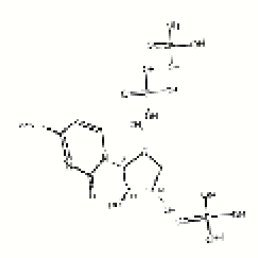 C.CC(=O)Nc1ccn([C@@H]2OC[C@H](O)[C@H]2O)c(=O)n1.O=P(O)(O)O.O=P(O)(O)O.O=P(O)(O)O